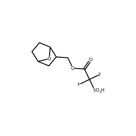 O=C(OCC1CC2CCC1O2)C(F)(F)S(=O)(=O)O